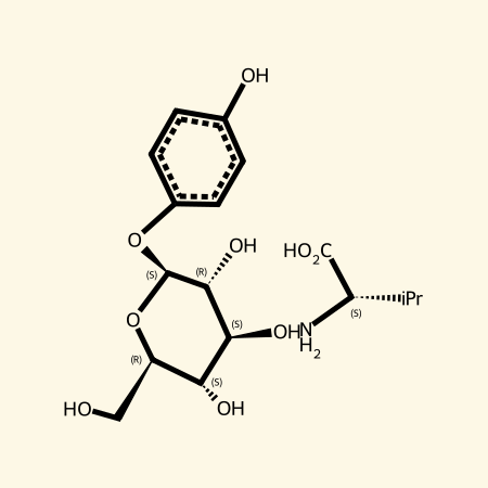 CC(C)[C@H](N)C(=O)O.OC[C@H]1O[C@@H](Oc2ccc(O)cc2)[C@H](O)[C@@H](O)[C@@H]1O